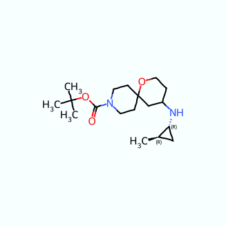 C[C@@H]1C[C@H]1NC1CCOC2(CCN(C(=O)OC(C)(C)C)CC2)C1